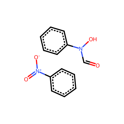 O=CN(O)c1ccccc1.O=[N+]([O-])c1ccccc1